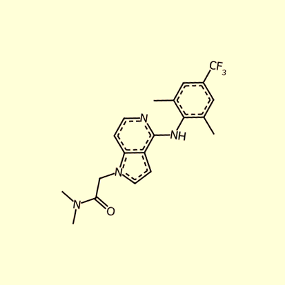 Cc1cc(C(F)(F)F)cc(C)c1Nc1nccc2c1ccn2CC(=O)N(C)C